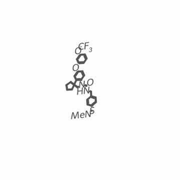 CNSc1ccc(CNC(=O)N2CC3(CCCC3)c3cc(Oc4cccc(OC(F)(F)F)c4)ccc32)cc1